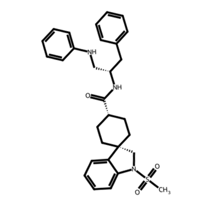 CS(=O)(=O)N1C[C@]2(CC[C@@H](C(=O)N[C@H](CNc3ccccc3)Cc3ccccc3)CC2)c2ccccc21